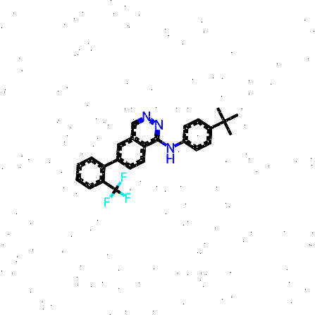 CC(C)(C)c1ccc(Nc2nncc3cc(-c4ccccc4C(F)(F)F)ccc23)cc1